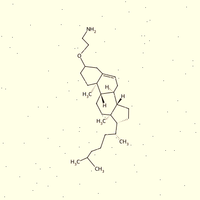 CC(C)CCC[C@@H](C)[C@H]1CC[C@H]2[C@@H]3CC=C4CC(OCCN)CC[C@]4(C)[C@H]3CC[C@]12C